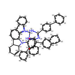 C1=CC2c3ccc4c5ccccc5n(C5NC(c6ccc(-c7ccccc7)cc6)=NC(c6ccccc6)N5)c4c3N(c3ccc(-c4ccc5ccccc5c4)cc3-c3ccccc3)C2C=C1